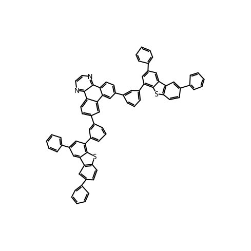 c1ccc(-c2ccc3sc4c(-c5cccc(-c6ccc7c(c6)c6cc(-c8cccc(-c9cc(-c%10ccccc%10)cc%10c9sc9ccc(-c%11ccccc%11)cc9%10)c8)ccc6c6nccnc76)c5)cc(-c5ccccc5)cc4c3c2)cc1